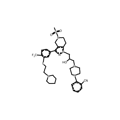 CS(=O)(=O)N1CCc2c(c(-c3ccc(C(F)(F)F)c(SCCN4CCCCC4)c3)nn2CC(O)CN2CCN(c3ccccc3C#N)CC2)C1